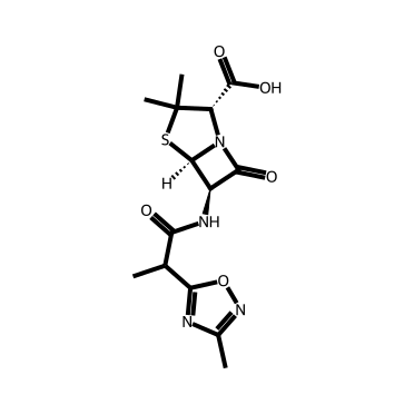 Cc1noc(C(C)C(=O)N[C@@H]2C(=O)N3[C@@H]2SC(C)(C)[C@@H]3C(=O)O)n1